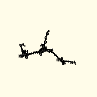 C#CCOCCOCCOCCNc1nc(N2CCN(C(=O)CCCCCCCCCCNC(=O)Cn3cc(CCCCCN)nn3)CC2)nc(N2CCN(C(=O)CCCCCCCCCCNC(=O)[C@H](CO)n3cc(CCCCCN)nn3)CC2)n1